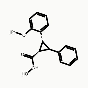 CC(C)Oc1ccccc1[C@@H]1C(c2ccccc2)[C@H]1C(=O)NO